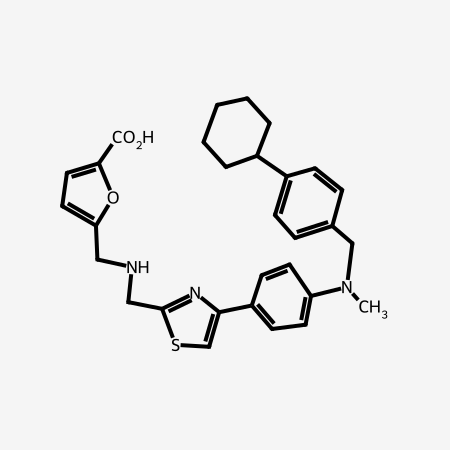 CN(Cc1ccc(C2CCCCC2)cc1)c1ccc(-c2csc(CNCc3ccc(C(=O)O)o3)n2)cc1